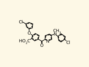 CN(c1ccc(Cl)cc1)c1ccc(C(=O)c2ccc(Oc3cccc(Cl)c3)c(C(=O)O)c2)nc1